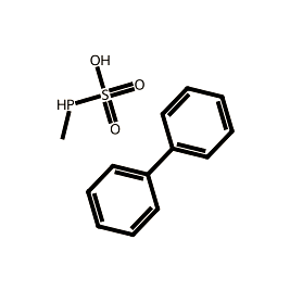 CPS(=O)(=O)O.c1ccc(-c2ccccc2)cc1